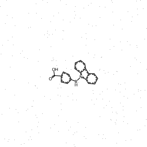 O=C(O)c1ccc(Bn2c3ccccc3c3ccccc32)cc1